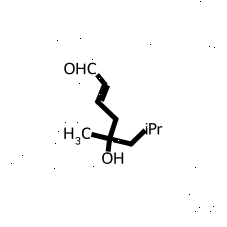 CC(C)CC(C)(O)CC=CC=O